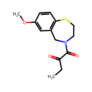 CCC(=O)C(=O)N1CCSc2ccc(OC)cc2C1